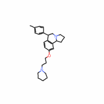 Cc1ccc(C2CN3CCCC3c3cc(OCCCN4CCCCC4)ccc32)cc1